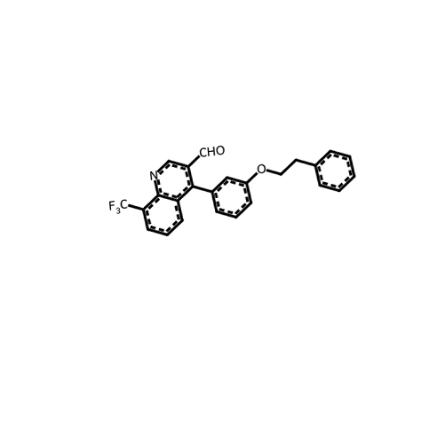 O=Cc1cnc2c(C(F)(F)F)cccc2c1-c1cccc(OCCc2ccccc2)c1